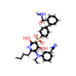 CCCCc1nc(O)c(S(=O)(=O)c2ccc(-c3ccccc3C(=O)NC)cc2)c(O)c1N(CC)c1cccc(C#N)c1